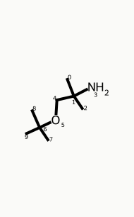 CC(C)(N)COC(C)(C)C